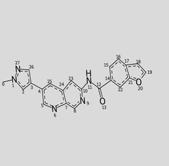 Cn1cc(-c2cnc3cnc(NC(=O)c4ccc5ccoc5c4)cc3c2)cn1